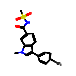 Cn1cc(-c2ccc(C(F)(F)F)cc2)c2ccc(C(=O)NS(C)(=O)=O)cc21